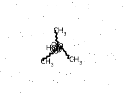 CCCCCCCC(=O)[O][Ti]([OH])([O]C(=O)CCCCCCC)[O]C(=O)CCCCCCC